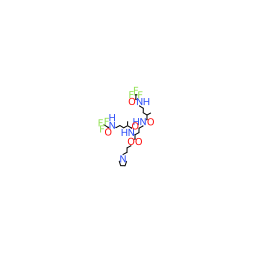 CC(CCCNC(=O)C(F)(F)F)C(=O)NCCCC(NC(=O)C(C)CCCNC(=O)C(F)(F)F)C(=O)OCCCCN1CCCC1